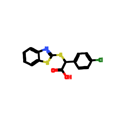 O=C(O)C(Sc1nc2ccccc2s1)c1ccc(Cl)cc1